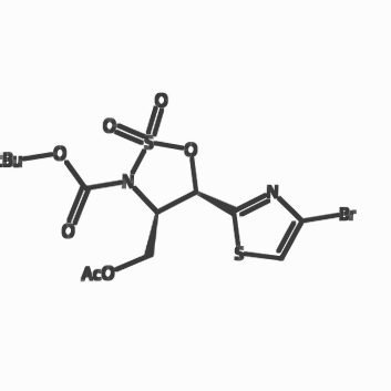 CC(=O)OC[C@@H]1[C@H](c2nc(Br)cs2)OS(=O)(=O)N1C(=O)OC(C)(C)C